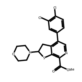 COC(=O)c1ncc(-c2ccc(Cl)c(Cl)c2)c2c1SC(N1CCOCC1)C2